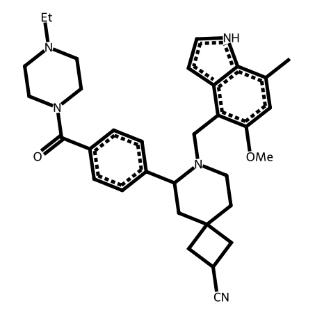 CCN1CCN(C(=O)c2ccc(C3CC4(CCN3Cc3c(OC)cc(C)c5[nH]ccc35)CC(C#N)C4)cc2)CC1